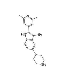 Cc1cc(-c2[nH]c3ccc(C4CCNCC4)cc3c2C(C)C)cc(C)n1